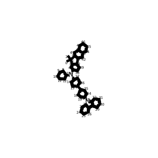 CC1(C)c2cc(N(c3ccccc3)c3ccc(-c4ccc(-n5c6ccccc6c6ccccc65)cc4)cc3)ccc2-c2cc3ccccc3cc21